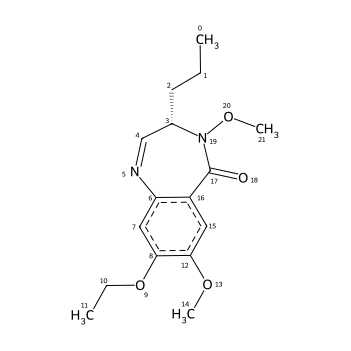 CCC[C@H]1C=Nc2cc(OCC)c(OC)cc2C(=O)N1OC